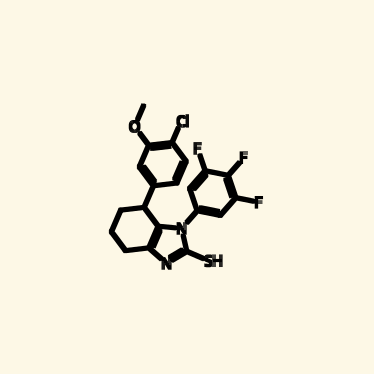 COc1cc(C2CCCc3nc(S)n(-c4cc(F)c(F)c(F)c4)c32)ccc1Cl